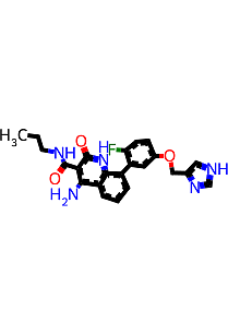 CCCNC(=O)c1c(N)c2cccc(-c3cc(OCc4c[nH]cn4)ccc3F)c2[nH]c1=O